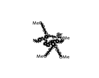 COCCOCCOCCOc1cc2c(cc1OCCOCCOCCOC)[n+](Cc1ccc(N=[N+]=[N-])cc1)cn2Cc1cccc2cccc(Cn3c[n+](Cc4ccc(N=[N+]=[N-])cc4)c4cc(OCCOCCOCCOC)c(OCCOCCOCCOC)cc43)c12.[Br-].[Br-]